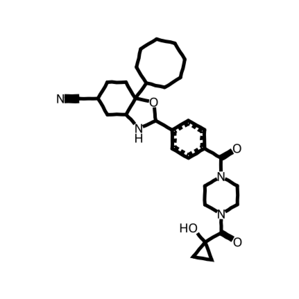 N#CC1CCC2(C3CCCCCCC3)OC(c3ccc(C(=O)N4CCN(C(=O)C5(O)CC5)CC4)cc3)NC2C1